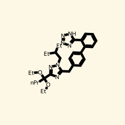 CCCC(OCC)(OCC)c1nc(Cc2ccc(-c3ccccc3-c3nnn[nH]3)cc2)n(CC(CC)CC)n1